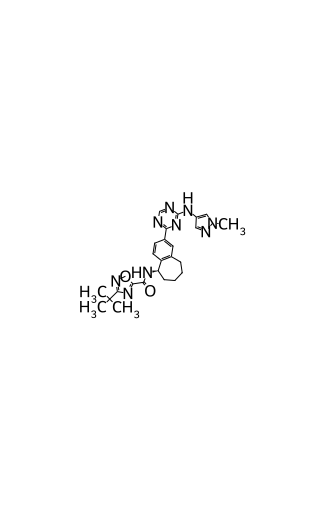 Cn1cc(Nc2ncnc(-c3ccc4c(c3)CCCC[C@H]4NC(=O)c3nc(C(C)(C)C)no3)n2)cn1